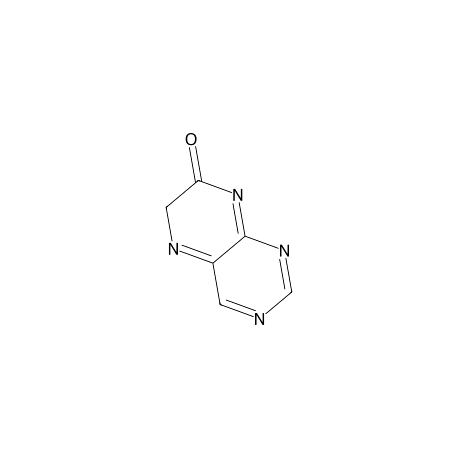 O=C1CN=c2cncnc2=N1